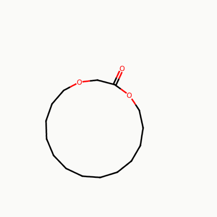 O=C1COCCCCCCCCCCCCCO1